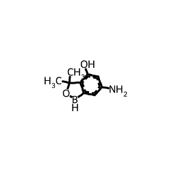 CC1(C)OBc2cc(N)cc(O)c21